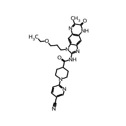 CCOCCCn1c(NC(=O)C2CCN(c3ccc(C#N)cn3)CC2)nc2cc3[nH]c(=O)c(C)nc3cc21